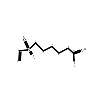 C=CS(=O)(=O)CCCCCC(=O)I